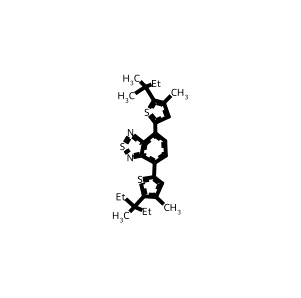 CCC(C)(C)c1sc(-c2ccc(-c3cc(C)c(C(C)(CC)CC)s3)c3nsnc23)cc1C